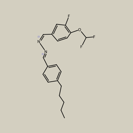 CCCCCc1ccc(/C=N/N=C\c2ccc(OC(F)F)c(F)c2)cc1